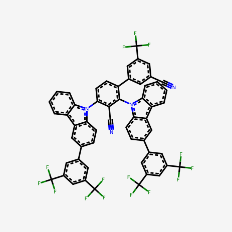 N#Cc1cc(-c2ccc(-n3c4ccccc4c4cc(-c5cc(C(F)(F)F)cc(C(F)(F)F)c5)ccc43)c(C#N)c2-n2c3ccccc3c3cc(-c4cc(C(F)(F)F)cc(C(F)(F)F)c4)ccc32)cc(C(F)(F)F)c1